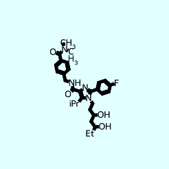 [CH2]CC(O)CC(O)CCn1c(-c2ccc(F)cc2)nc(C(=O)NCc2ccc(C(=O)N(C)C)cc2)c1C(C)C